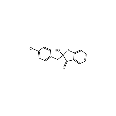 O=C1c2ccccc2OC1(O)Cc1ccc(Cl)cc1